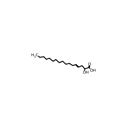 CCCCCCCCCCCC/C=C/CC(O)C(=O)O